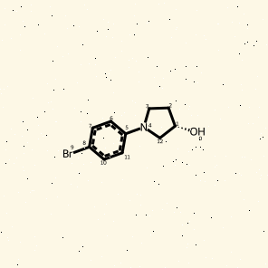 O[C@H]1CCN(c2ccc(Br)cc2)C1